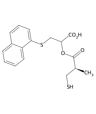 C[C@@H](CS)C(=O)OC(CSc1cccc2ccccc12)C(=O)O